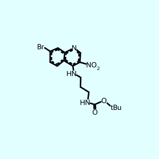 CC(C)(C)OC(=O)NCCCNc1c([N+](=O)[O-])cnc2cc(Br)ccc12